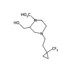 O=C(O)N1CCN(CCC2(C(F)(F)F)CC2)CC1CO